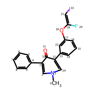 Cn1cc(-c2ccccc2)c(=O)c(-c2cccc(O/C(F)=C/I)c2)c1